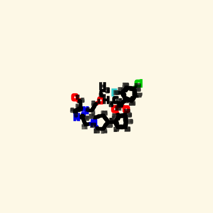 COCCn1c(C=O)cnc1CN1CCC(c2cccc3c2OC(C)(c2ccc(Cl)cc2F)O3)CC1